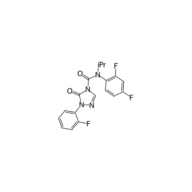 CC(C)N(C(=O)n1cnn(-c2ccccc2F)c1=O)c1ccc(F)cc1F